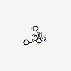 O=C(O)/C=C\c1ccc(OCc2ccccc2)c(C(=O)Nc2cccnc2)c1